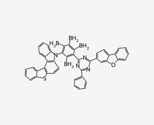 Bc1c(B)c(-c2nc(-c3ccccc3)nc(-c3ccc4c(c3)oc3ccccc34)n2)c(B)c(-n2c3ccccc3c3c4c(ccc32)sc2ccccc24)c1B